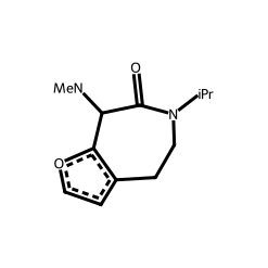 CNC1C(=O)N(C(C)C)CCc2ccoc21